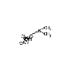 CCCCN(CCCC)CCCCCC1CCN(Nc2nc(Cl)nc3c2ncn3C2CCCC2)CC1